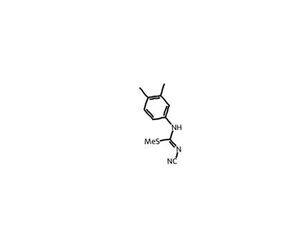 CS/C(=N\C#N)Nc1ccc(C)c(C)c1